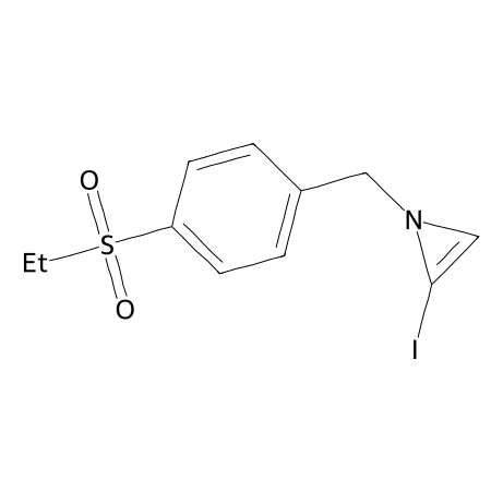 CCS(=O)(=O)c1ccc(CN2C=C2I)cc1